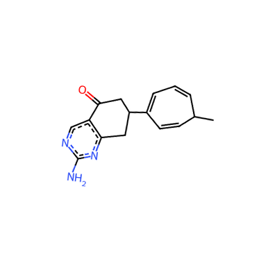 CC1C=CC=C(C2CC(=O)c3cnc(N)nc3C2)C=C1